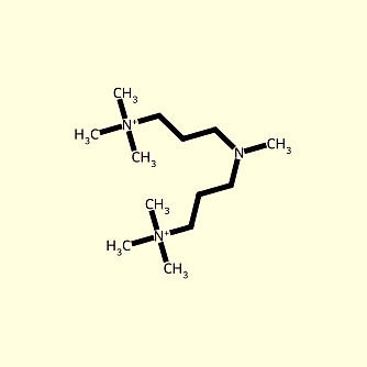 CN(CCC[N+](C)(C)C)CCC[N+](C)(C)C